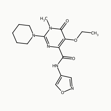 CCOc1c(C(=O)Nc2cnoc2)nc(N2CCCCC2)n(C)c1=O